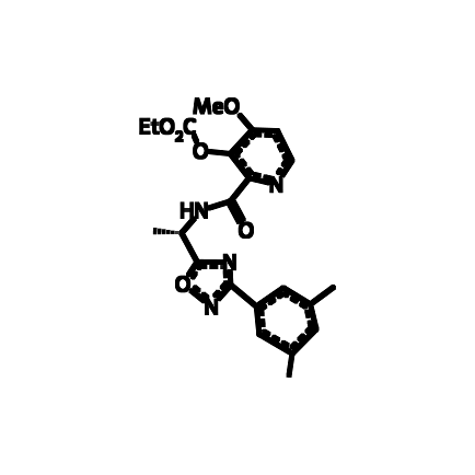 CCOC(=O)Oc1c(OC)ccnc1C(=O)N[C@@H](C)c1nc(-c2cc(C)cc(C)c2)no1